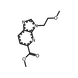 COCCn1cnc2ccc(C(=O)OC)nc21